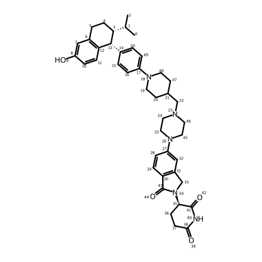 CC(C)[C@H]1CCc2cc(O)ccc2[C@H]1c1ccc(N2CCC(CN3CCN(c4ccc5c(c4)CN([C@@H]4CCC(=O)NC4=O)C5=O)CC3)CC2)cc1